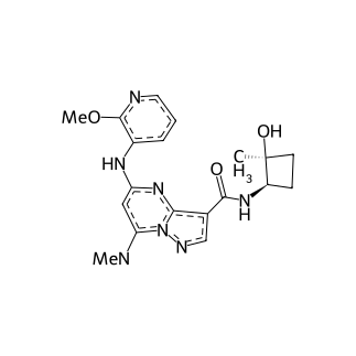 CNc1cc(Nc2cccnc2OC)nc2c(C(=O)N[C@@H]3CC[C@]3(C)O)cnn12